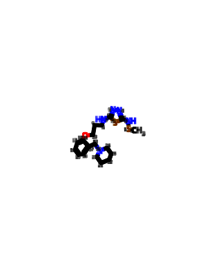 CSNc1nnc(NCCCOc2ccccc2CN2CCCCC2)s1